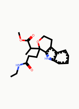 CCNC(=O)CCC1(C(C)C(=O)OC)OCCc2c1[nH]c1ccccc21